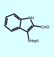 CCCCCCCc1c(C=O)[nH]c2ccccc12